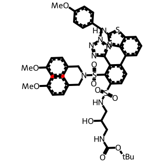 COc1ccc(CN(Cc2ccc(OC)cc2)S(=O)(=O)c2c(S(=O)(=O)NCC(O)CNC(=O)OC(C)(C)C)ccc(-c3cccc4sc(N)nc34)c2-c2nnn(Cc3ccc(OC)cc3)n2)cc1